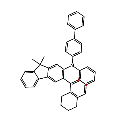 Cc1ccc2c(c1-c1cc3c(cc1N(c1ccccc1)c1ccc(-c4ccccc4)cc1)C(C)(C)c1ccccc1-3)CCCC2